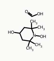 CC1(C)CC(O)CC(C)(C)N1O.O=CO